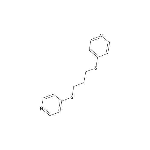 c1cc(SCCCSc2ccncc2)ccn1